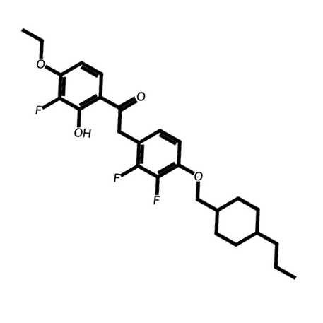 CCCC1CCC(COc2ccc(CC(=O)c3ccc(OCC)c(F)c3O)c(F)c2F)CC1